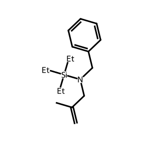 C=C(C)CN(Cc1ccccc1)[Si](CC)(CC)CC